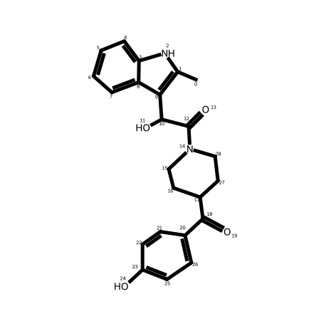 Cc1[nH]c2ccccc2c1C(O)C(=O)N1CCC(C(=O)c2ccc(O)cc2)CC1